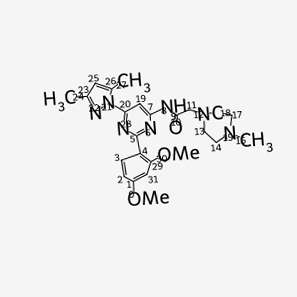 COc1ccc(-c2nc(NC(=O)CN3CCN(C)CC3)cc(-n3nc(C)cc3C)n2)c(OC)c1